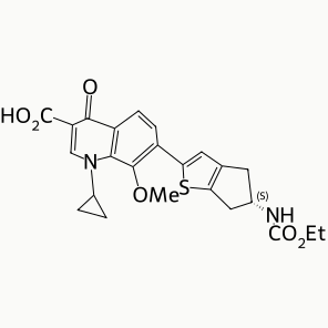 CCOC(=O)N[C@H]1Cc2cc(-c3ccc4c(=O)c(C(=O)O)cn(C5CC5)c4c3OC)sc2C1